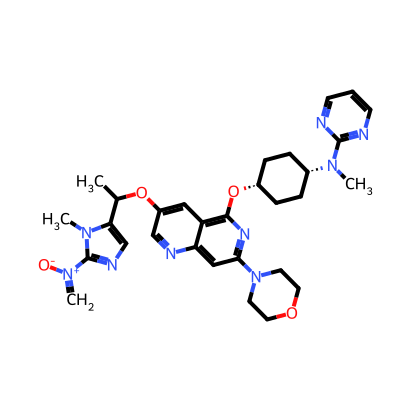 C=[N+]([O-])c1ncc(C(C)Oc2cnc3cc(N4CCOCC4)nc(O[C@H]4CC[C@@H](N(C)c5ncccn5)CC4)c3c2)n1C